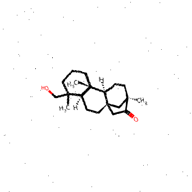 CC1(CO)CCC[C@@]2(C)[C@H]1CC[C@@]13CC(=O)[C@](C)(CC[C@@H]12)C3